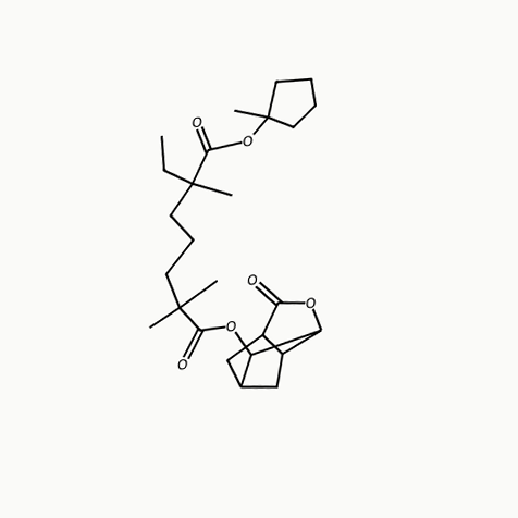 CCC(C)(CCCC(C)(C)C(=O)OC1C2CC3C(=O)OC1C3C2)C(=O)OC1(C)CCCC1